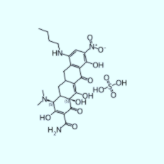 CCCCNc1cc([N+](=O)[O-])c(O)c2c1CC1CC3[C@H](N(C)C)C(O)=C(C(N)=O)C(=O)[C@@]3(O)C(O)=C1C2=O.O=S(=O)(O)O